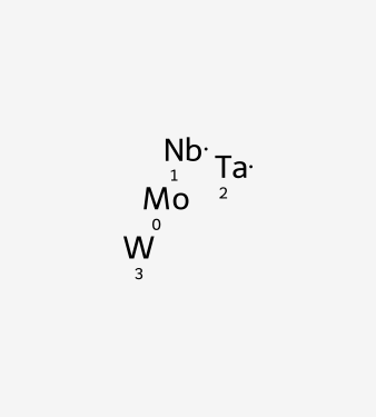 [Mo].[Nb].[Ta].[W]